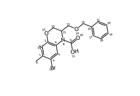 Cc1nc2c(cc1Br)N(C(=O)O)C(COCc1ccccc1)CO2